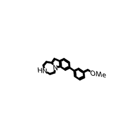 COCc1cccc(-c2ccc3c(c2)N2CCNCCC2C3)c1